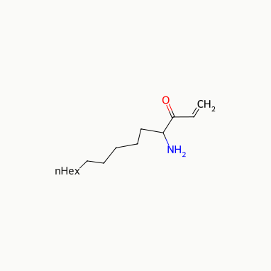 C=CC(=O)C(N)CCCCCCCCCCC